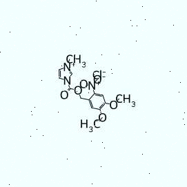 COc1cc(COC(=O)n2cc[n+](C)c2)c([N+](=O)[O-])cc1OC.[Cl-]